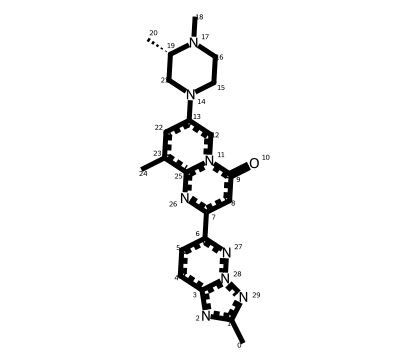 Cc1nc2ccc(-c3cc(=O)n4cc(N5CCN(C)[C@@H](C)C5)cc(C)c4n3)nn2n1